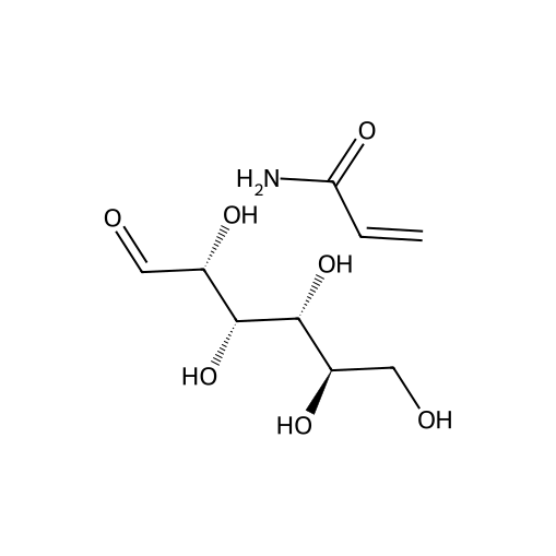 C=CC(N)=O.O=C[C@H](O)[C@@H](O)[C@H](O)[C@H](O)CO